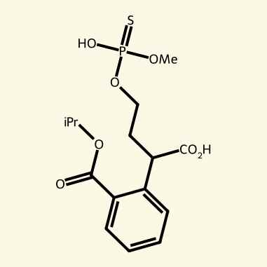 COP(O)(=S)OCCC(C(=O)O)c1ccccc1C(=O)OC(C)C